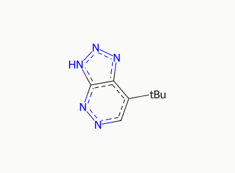 CC(C)(C)c1cnnc2[nH]nnc12